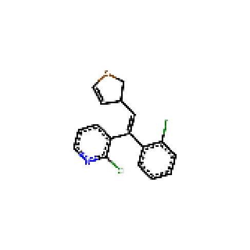 Fc1ccccc1C(=CC1C=CSC1)c1cccnc1Cl